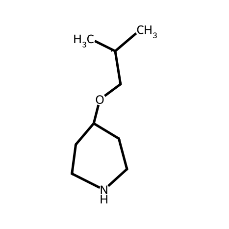 C[C](C)COC1CCNCC1